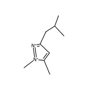 CC1=CC(CC(C)C)=[N+]=[N+]1C